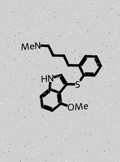 CNCCCCc1ccccc1Sc1c[nH]c2cccc(OC)c12